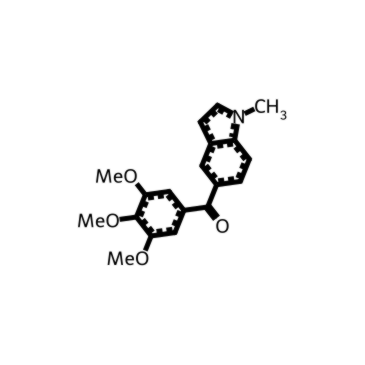 COc1cc(C(=O)c2ccc3c(ccn3C)c2)cc(OC)c1OC